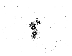 C=C(C)C(C=O)OC(=O)c1cc(Oc2ccc(C(F)(F)F)cc2Cl)ccc1[N+](=O)[O-]